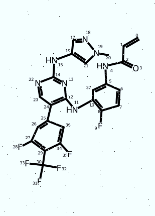 C=CC(=O)Nc1ccc(F)c(Nc2nc(Nc3cnn(C)c3)ncc2-c2cc(F)c(C(F)(F)F)c(F)c2)c1